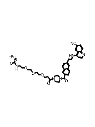 CC(C)(C)OC(=O)NCCOCCOCCOCCC(=O)N1CCN(C(=O)c2ccc3cc(CCNc4ccnc5ccc(C#N)cc45)ccc3c2)CC1